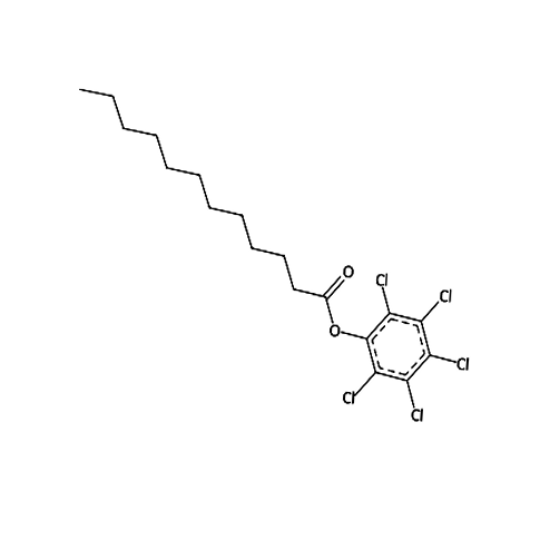 CCCCCCCCCCCC(=O)Oc1c(Cl)c(Cl)c(Cl)c(Cl)c1Cl